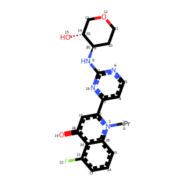 CC(C)n1c(-c2ccnc(N[C@@H]3CCOC[C@H]3O)n2)cc(=O)c2c(F)cccc21